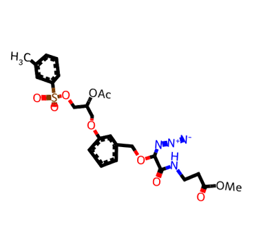 COC(=O)CCNC(=O)C(N=[N+]=[N-])OCc1cccc(OCC(COS(=O)(=O)c2cccc(C)c2)OC(C)=O)c1